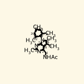 CC(=O)NCc1nc(C)nc2c1c(C)c(C)n2-c1c(C)cc(C)cc1C